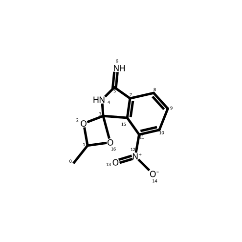 CC1OC2(NC(=N)c3cccc([N+](=O)[O-])c32)O1